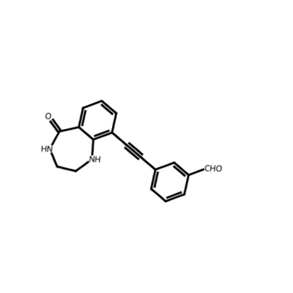 O=Cc1cccc(C#Cc2cccc3c2NCCNC3=O)c1